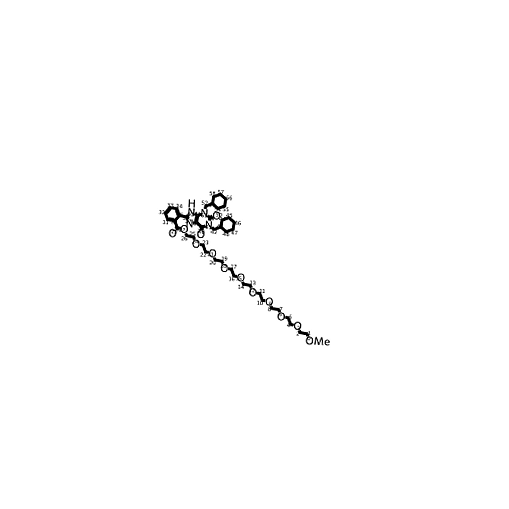 COCCOCCOCCOCCOCCOCCOCCOCCOCCOC(=O)c1ccccc1-c1nc2c(=O)n(CC3CCCCC3)c(=O)n(CC3CCCCC3)c2[nH]1